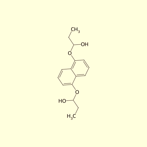 CCC(O)Oc1cccc2c(OC(O)CC)cccc12